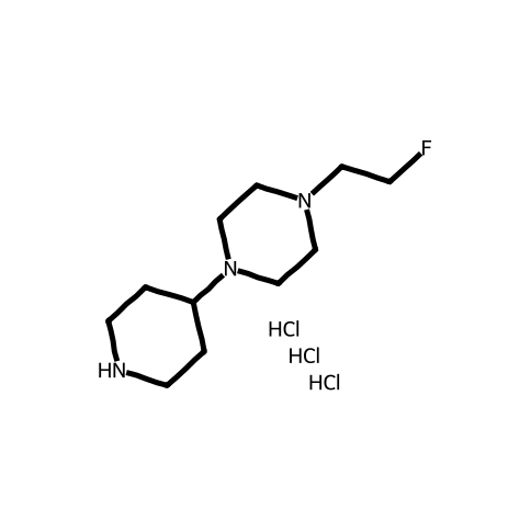 Cl.Cl.Cl.FCCN1CCN(C2CCNCC2)CC1